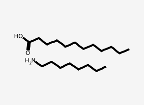 CCCCCCCCCCCC(=O)O.CCCCCCCCN